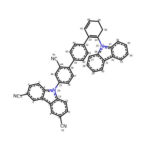 N#Cc1ccc2c(c1)c1cc(C#N)ccc1n2-c1ccc(-c2ccc(C3=C(n4c5ccccc5c5ccccc54)CCC=C3)cc2)c(C#N)c1